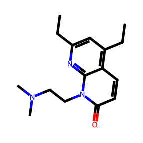 CCc1cc(CC)c2ccc(=O)n(CCN(C)C)c2n1